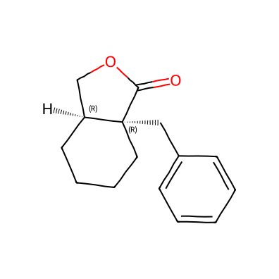 O=C1OC[C@@H]2CCCC[C@]12Cc1ccccc1